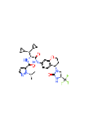 CC(C)n1nccc1C(=O)N[C@H](C(=O)Nc1ccc2c(c1)OCC[C@H]2N1C[C@@H](C(F)(F)F)NC1=O)C(C1CC1)C1CC1